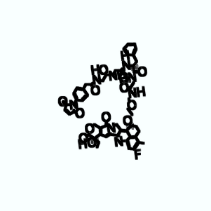 CC[C@@]1(O)C(=O)OCc2c1cc1n(c2=O)Cc2c-1nc1cc(F)c(C)c3c1c2[C@@H](OCCOCNC(=O)CNC(=O)[C@H](Cc1ccccc1)NC(=O)CNC(=O)CNC(=O)Cc1ccc(N2C(=O)C=CC2=O)cc1)CC3